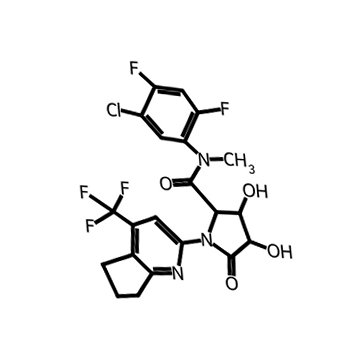 CN(C(=O)C1C(O)C(O)C(=O)N1c1cc(C(F)(F)F)c2c(n1)CCC2)c1cc(Cl)c(F)cc1F